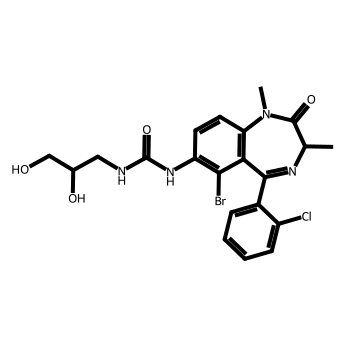 CC1N=C(c2ccccc2Cl)c2c(ccc(NC(=O)NCC(O)CO)c2Br)N(C)C1=O